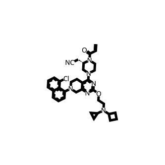 C=CC(=O)N1CCN(c2nc(OCCN(C3CCC3)C3CC3)nc3c2CCN(c2cccc4cccc(Cl)c24)C3)C[C@@H]1CC#N